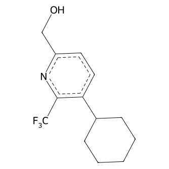 OCc1ccc(C2CCCCC2)c(C(F)(F)F)n1